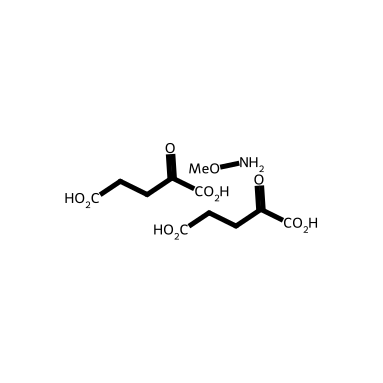 CON.O=C(O)CCC(=O)C(=O)O.O=C(O)CCC(=O)C(=O)O